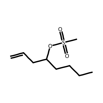 C=CCC(CCCC)OS(C)(=O)=O